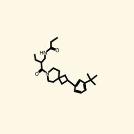 CCC(=O)NCC(CC)C(=O)N1CCC2(CC1)CC(c1cccc(C(C)(C)C)c1)C2